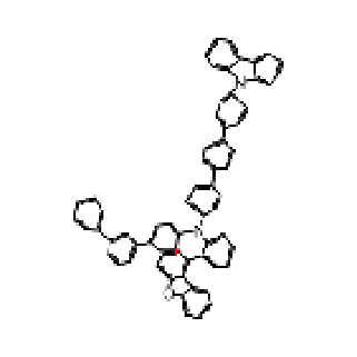 c1ccc(-c2cccc(-c3ccc(N(c4ccc(-c5ccc(-c6ccc(-n7c8ccccc8c8ccccc87)cc6)cc5)cc4)c4ccccc4-c4cccc5oc6ccccc6c45)cc3)c2)cc1